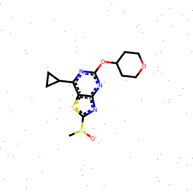 C[S+]([O-])c1nc2nc(OC3CCOCC3)nc(C3CC3)c2s1